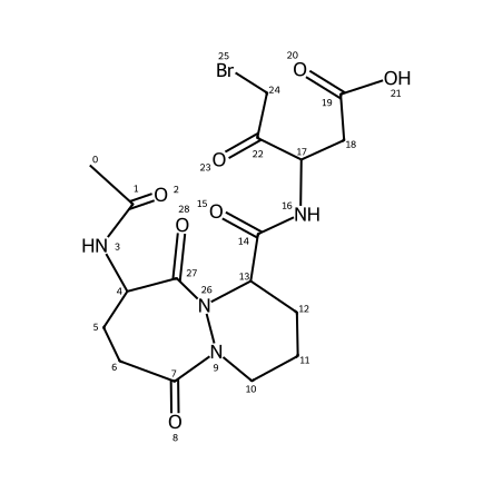 CC(=O)NC1CCC(=O)N2CCCC(C(=O)NC(CC(=O)O)C(=O)CBr)N2C1=O